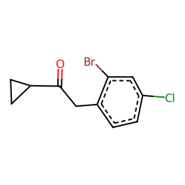 O=C(Cc1ccc(Cl)cc1Br)C1CC1